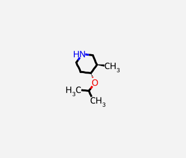 CC(C)O[C@@H]1CCNC[C@H]1C